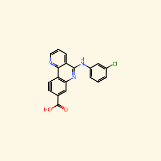 O=C(O)c1c#cc2c(c1)nc(Nc1cccc(Cl)c1)c1cccnc12